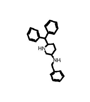 c1ccc(CNC2CCC(C(c3ccccc3)c3ccccc3)NC2)cc1